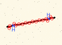 C=CCOC(=O)CNC(=O)OCCOCCOCCOCCOCCOCCOCCOCCOCCOC(=O)NCCOC(=O)C=C